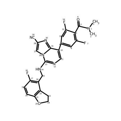 CN(C)C(=O)c1c(F)cc(-c2cnc(NCc3c(F)ccc4c3CCO4)n3cc(C#N)nc23)cc1F